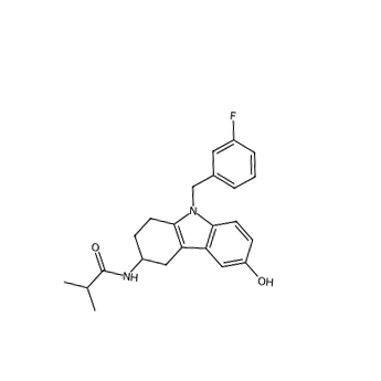 CC(C)C(=O)NC1CCc2c(c3cc(O)ccc3n2Cc2cccc(F)c2)C1